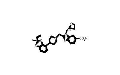 C=C[C@@]1(C)Oc2cccc(C3CCN(Cc4nc5ccc(C(=O)O)cc5n4C[C@@H]4CCO4)CC3)c2O1